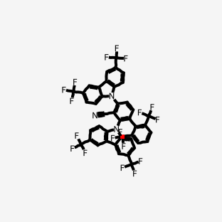 N#Cc1c(-n2c3ccc(C(F)(F)F)cc3c3cc(C(F)(F)F)ccc32)ccc(-c2c(C(F)(F)F)cccc2C(F)(F)F)c1-n1c2ccc(C(F)(F)F)cc2c2cc(C(F)(F)F)ccc21